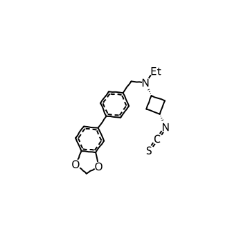 CCN(Cc1ccc(-c2ccc3c(c2)OCO3)cc1)[C@H]1C[C@@H](N=C=S)C1